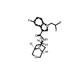 [2H]C([2H])([2H])N1[C@@H]2COC[C@H]1C[C@@H](NC(=O)c1cn(CC(F)F)c3ccc(F)cc13)C2